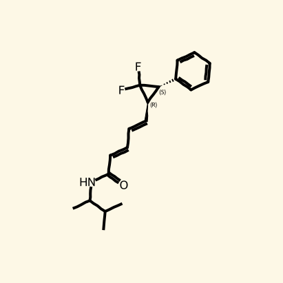 CC(C)C(C)NC(=O)C=CC=C[C@@H]1[C@@H](c2ccccc2)C1(F)F